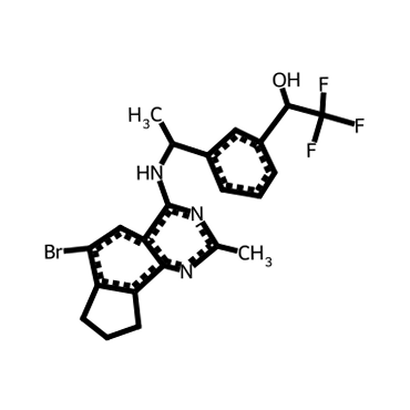 Cc1nc(NC(C)c2cccc(C(O)C(F)(F)F)c2)c2cc(Br)c3c(c2n1)CCC3